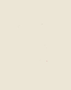 c1ccc(-c2cccc(-c3ccccc3N(c3ccccc3)c3ccc4c(c3)-c3ccccc3C43c4ccccc4-n4c5ccccc5c5cccc3c54)c2)cc1